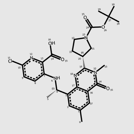 Cc1cc([C@H](C)Nc2ccc(Cl)nc2C(=O)O)c2nc([C@@H]3CCN(C(=O)OC(C)(C)C)C3)n(C)c(=O)c2c1